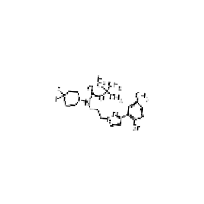 Cc1ccc(Br)c(-c2ccn(CCCN(C(=O)OC(C)(C)C)C3CCC(F)(F)CC3)n2)c1